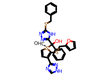 O=C[S@]1(C(O)(c2ccccc2)c2nnc(SCc3ccccc3)[nH]2)C=CC(c2nc[nH]n2)=C1SCc1ccco1